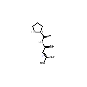 CC(C)(C)/C(O)=C/C(=N)NC(=O)[C@@H]1CCCN1